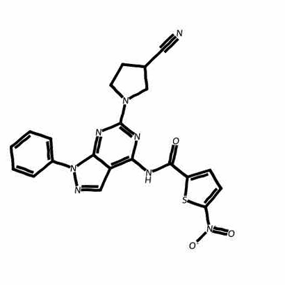 N#CC1CCN(c2nc(NC(=O)c3ccc([N+](=O)[O-])s3)c3cnn(-c4ccccc4)c3n2)C1